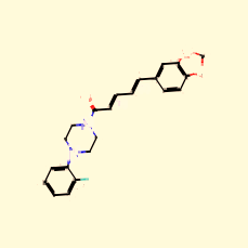 O=C(/C=C/C=C/c1ccc2c(c1)OCO2)N1CCN(c2ccccc2F)CC1